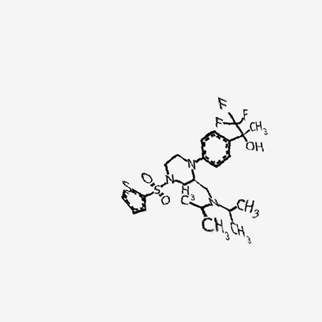 CC(C)N(C[C@H]1CN(S(=O)(=O)c2cccs2)CCN1c1ccc([C@@](C)(O)C(F)(F)F)cc1)C(C)C